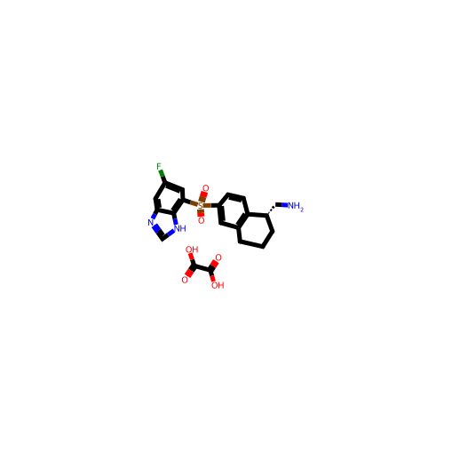 NC[C@@H]1CCCc2cc(S(=O)(=O)c3cc(F)cc4nc[nH]c34)ccc21.O=C(O)C(=O)O